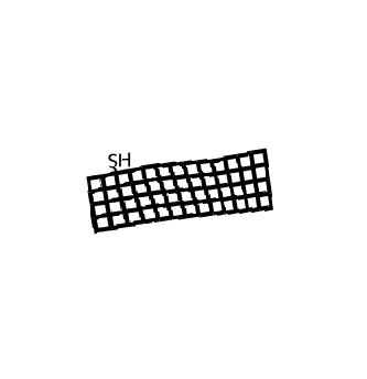 S[C@@]12C3CC4C5C6CC7C8C9C%10C%11C%12C%13C%14C%15C%16C%17C%18CC%19C%20C%21CC%22C%23C%24C%25C%26C%27C%28C%29C%30C1C1%31C%30%32C%29%30C%28%29C%27%28C%26%27C%25%26C%24%25C%23%24C%21%22C%20%21C%19%18C%17%18C%16%17C%15%16C%14%15C%13%14C%12%13C%11%12C%10%11C9%10C89C67C56C43C12C69C%10%31C%11%32C%12%30C%13%29C%14%28C%15%27C%16%26C%17%25C%21%18%24